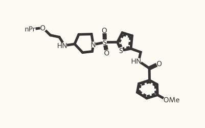 CCCOCCNC1CCN(S(=O)(=O)c2ccc(CNC(=O)c3cccc(OC)c3)s2)CC1